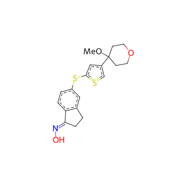 COC1(c2csc(Sc3ccc4c(c3)CCC4=NO)c2)CCOCC1